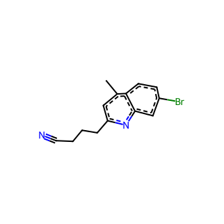 Cc1cc(CCCC#N)nc2cc(Br)ccc12